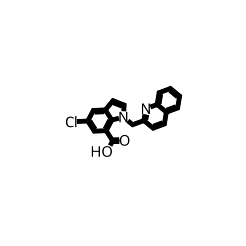 O=C(O)c1cc(Cl)cc2ccn(Cc3ccc4ccccc4n3)c12